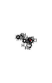 C#CCN1c2cc(Cl)c(Cl)cc2[N+](Cc2ccc(NC(=S)N(C)c3ccccc3)cc2)(O[Cl+3]([O-])([O-])[O-])C1C